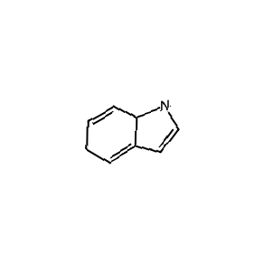 C1=CC2[N]C=CC2=CC1